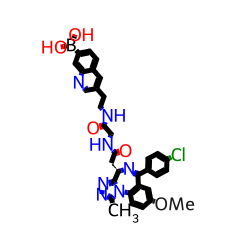 COc1ccc2c(c1)C(c1ccc(Cl)cc1)=N[C@@H](CC(=O)NCC(=O)NCCc1cnc3cc(B(O)O)ccc3c1)c1nnc(C)n1-2